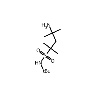 CC(C)(N)CC(C)(C)S(=O)(=O)NC(C)(C)C